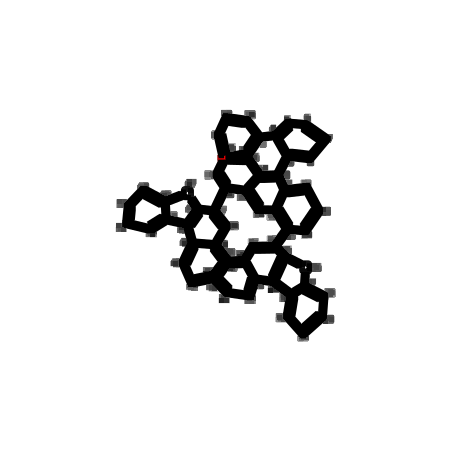 c1ccc(-c2ccccc2-c2c3cccc(-c4cc5ccccc5c5c4oc4ccccc45)c3cc3c(-c4cc5ccccc5c5c4oc4ccccc45)cccc23)cc1